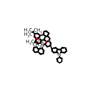 CC(C)(C)c1cc(-c2cccc3cccc(-c4ccccc4N(c4cccc(-c5ccc6c(c5)c5ccccc5n6C5=CCCC=C5)c4)c4cccc5ccccc45)c23)cc(C(C)(C)C)c1